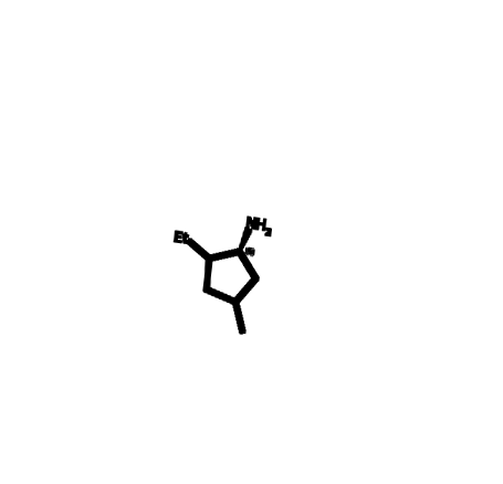 CCC1CC(C)C[C@@H]1N